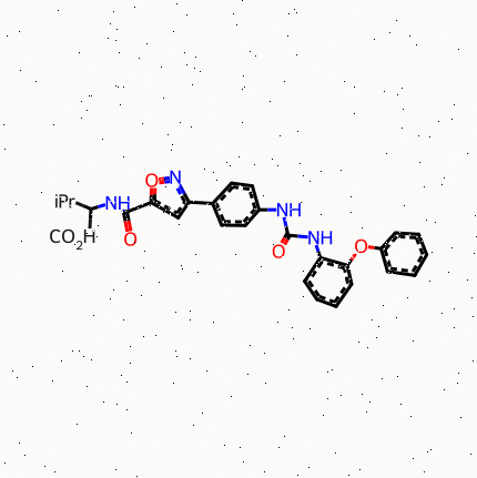 CC(C)C(NC(=O)c1cc(-c2ccc(NC(=O)Nc3ccccc3Oc3ccccc3)cc2)no1)C(=O)O